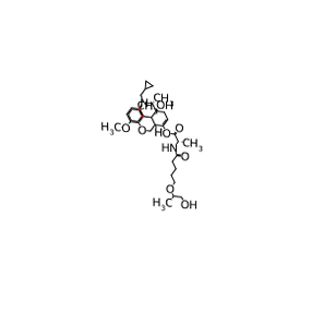 COc1ccc(C)c2c1OC[C@H]1C(OC(=O)[C@H](C)NC(=O)CCCCOC(C)CO)=CC[C@@]3(O)[C@@H](C)N(CC4CC4)CC[C@]213